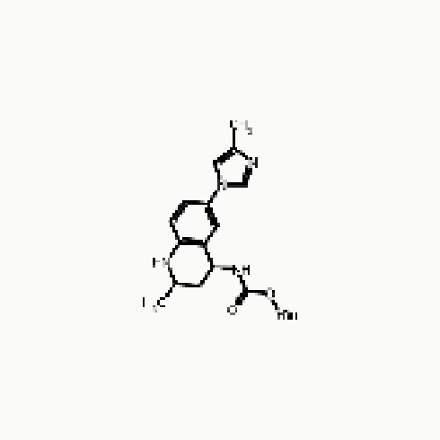 Cc1cn(-c2ccc3c(c2)[C@@H](NC(=O)OC(C)(C)C)C[C@@H](C)N3)cn1